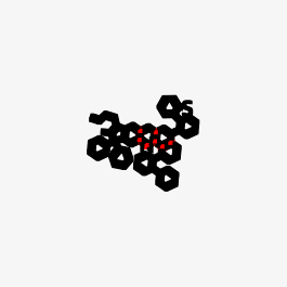 C=C/C=C\C1=C(C)C(c2ccccc2)(c2ccccc2)c2cc(N(c3ccc(-c4cccc5sc6ccccc6c45)cc3)c3cccc(-c4ccccc4)c3-c3ccccc3-c3ccccc3)ccc21